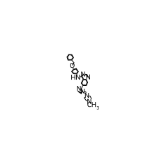 CN1CCN(Cn2ccnc2-c2ccc3ncnc(Nc4ccc(OCc5ccccc5)cc4)c3c2)CC1